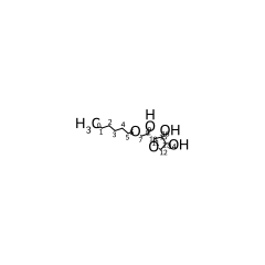 CCCCCCOCC(O)[C@H]1OC[C@@H](O)C1O